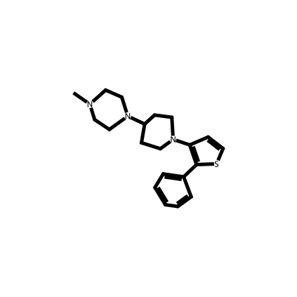 CN1CCN(C2CCN(c3ccsc3-c3ccccc3)CC2)CC1